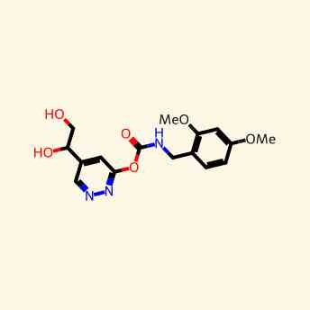 COc1ccc(CNC(=O)Oc2cc(C(O)CO)cnn2)c(OC)c1